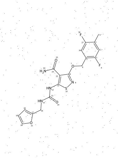 Cc1cc(F)c(COc2nsc(NC(=O)NCc3ccco3)c2C(N)=O)cc1F